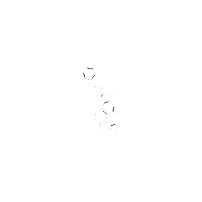 CC(Cc1ccccc1)c1nc2c3c(ccc2n1C)N(C(=O)O)[C@@H](C)CC3